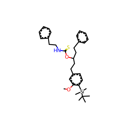 COc1cc(CCC(CCc2ccccc2)OC(=S)NCCc2ccccc2)ccc1[Si](C)(C)C(C)(C)C